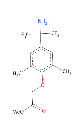 COC(=O)COc1c(C)cc(C(N)(C(F)(F)F)C(F)(F)F)cc1C